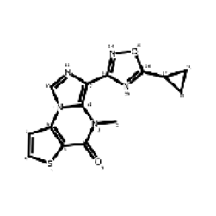 Cn1c(=O)c2sccc2n2cnc(-c3noc(C4CC4)n3)c12